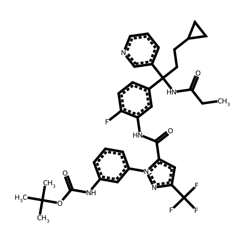 CCC(=O)NC(CCC1CC1)(c1cccnc1)c1ccc(F)c(NC(=O)c2cc(C(F)(F)F)nn2-c2cccc(NC(=O)OC(C)(C)C)c2)c1